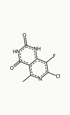 Cc1nc(Cl)c(F)c2[nH]c(=O)[nH]c(=O)c12